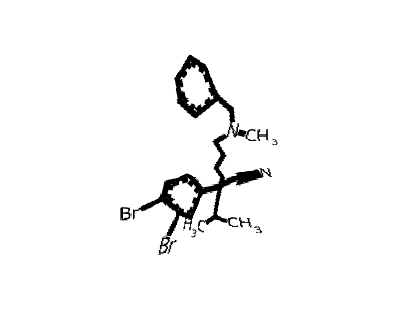 CC(C)C(C#N)(CCCN(C)Cc1ccccc1)c1ccc(Br)c(Br)c1